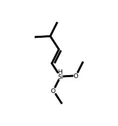 CO[SiH](C=CC(C)C)OC